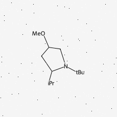 COC1CC(C(C)C)N(C(C)(C)C)C1